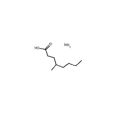 CCCCC(C)CCC(=O)O.[InH3]